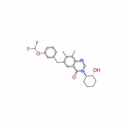 Cc1c(Cc2cccc(OC(F)F)c2)cc2c(=O)n([C@@H]3CCCC[C@H]3O)cnc2c1C